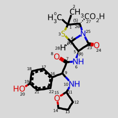 CC1(C)S[C@@H]2[C@H](NC(=O)C(NC3CCCO3)c3ccc(O)cc3)C(=O)N2[C@H]1C(=O)O